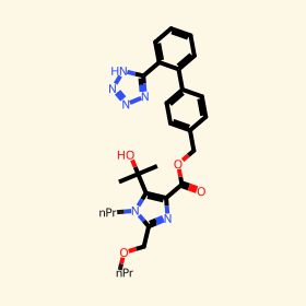 CCCOCc1nc(C(=O)OCc2ccc(-c3ccccc3-c3nnn[nH]3)cc2)c(C(C)(C)O)n1CCC